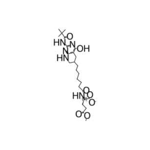 COC(=O)CC[C@@H](NC(=O)CCCCCCC1CNc2nc(NC(=O)C(C)(C)C)nc(O)c2C1)C(=O)OC